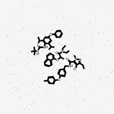 CC(C)c1cc(Oc2ccccc2)cc(C(C)C)c1NC(=S)NC(C)(C)C.CCN(CC)C(=O)C(C)Oc1cccc2ccccc12.CCc1nn(C)c(C(=O)NCc2ccc(Oc3ccc(C)cc3)cc2)c1Cl